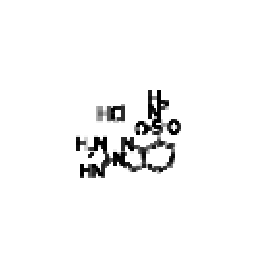 Cl.N=C(N)n1cc2cccc(S(N)(=O)=O)c2n1